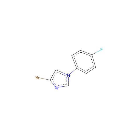 Fc1ccc(-n2cnc(Br)c2)cc1